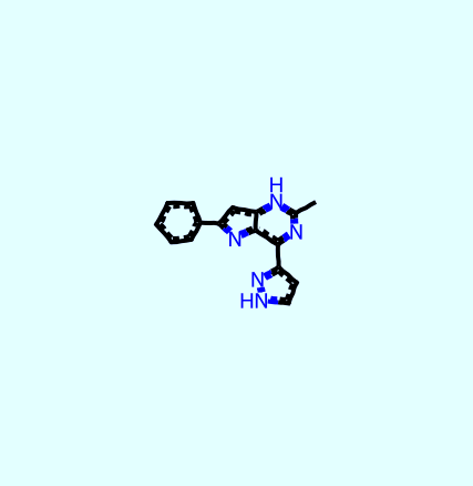 Cc1nc(-c2cc[nH]n2)c2nc(-c3ccccc3)cc-2[nH]1